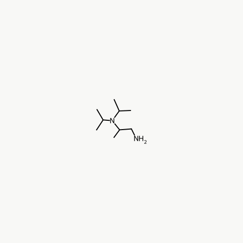 CC(C)N(C(C)C)C(C)CN